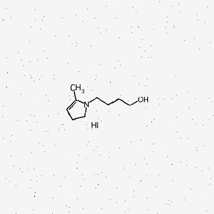 CC1=CCCN1CCCCO.I